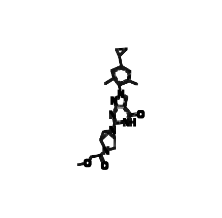 COCC(=O)N1CC2CC1CN2c1nc2nn(-c3c(C)cc(C4CC4)cc3C)cc2c(=O)[nH]1